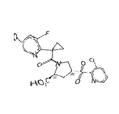 O=C(O)[C@@H]1C[C@@H](S(=O)(=O)c2ncccc2Cl)CN1C(=O)C1(c2ncc(Cl)cc2F)CC1